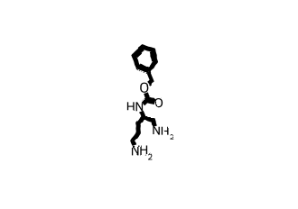 NCCCC(CN)NC(=O)OCc1ccccc1